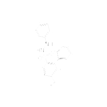 C=Cc1ccc(S(=O)(=O)NNc2ccccc2)c(-c2ccccc2)c1